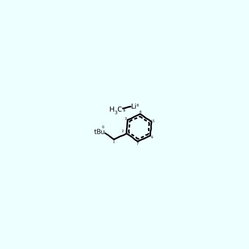 CC(C)(C)Cc1cc[c]cc1.[Li][CH3]